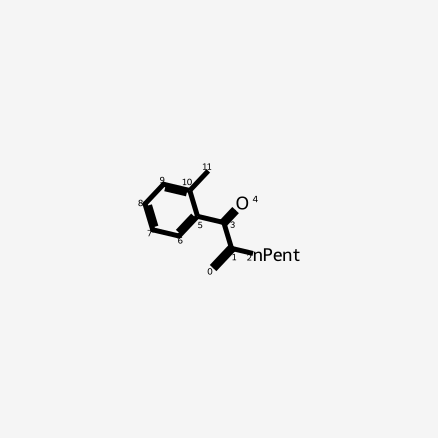 C=C(CCCCC)C(=O)c1ccccc1C